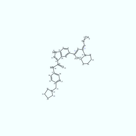 C=N/C=C(\C=C(/C)c1ccc2[nH]nc(C(=O)Nc3ccc(CN4CCCC4)nc3)c2c1)N1CCCCC1